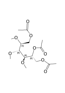 CO[C@@H]([C@H](OC)[C@@H](COC(C)=O)OC(C)=O)[C@H](COC(C)=O)OC